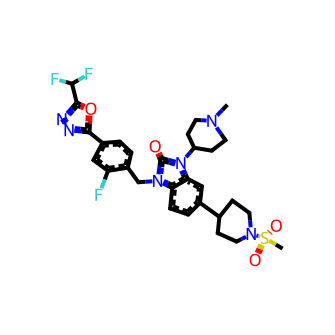 CN1CCC(n2c(=O)n(Cc3ccc(-c4nnc(C(F)F)o4)cc3F)c3ccc(C4CCN(S(C)(=O)=O)CC4)cc32)CC1